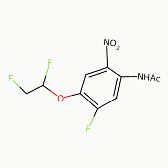 CC(=O)Nc1cc(F)c(OC(F)CF)cc1[N+](=O)[O-]